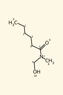 CCCCCC(=O)N(C)CO